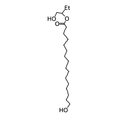 CCC(CO)OC(=O)CCCCCCCCCCCCCCCO